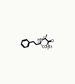 CCOC(=O)[C@H](CCc1ccccc1)N[C@@H](C)C(=O)Cl